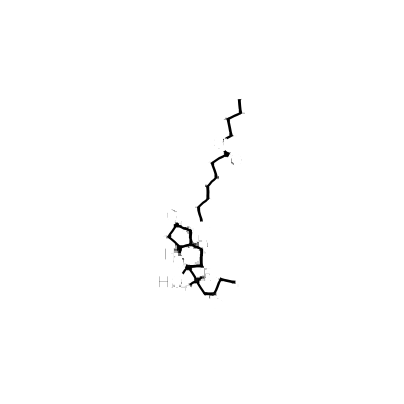 CCCCOC(=O)CCCCCC[C@H]1C(=O)C[C@H]2OC(O)(C(F)(F)C[C@@H](C)CC)CC[C@@H]21